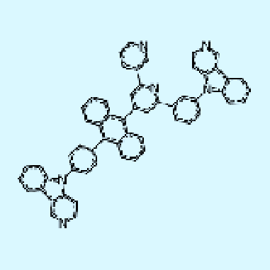 c1cncc(-c2cc(-c3c4ccccc4c(-c4ccc(-n5c6ccccc6c6cnccc65)cc4)c4ccccc34)cc(-c3cccc(-n4c5ccccc5c5cnccc54)c3)n2)c1